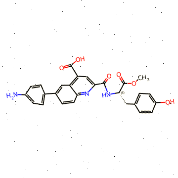 COC(=O)[C@H](Cc1ccc(O)cc1)NC(=O)c1cc(C(=O)O)c2cc(-c3ccc(N)cc3)ccc2n1